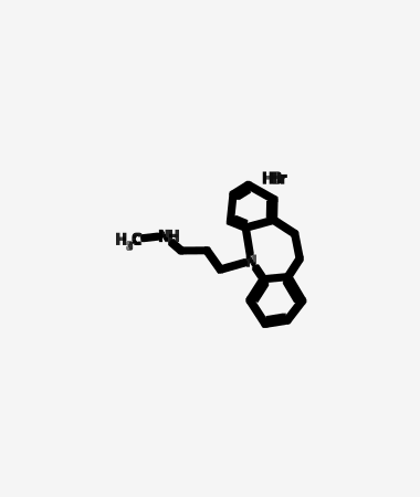 Br.CNCCCN1c2ccccc2CCc2ccccc21